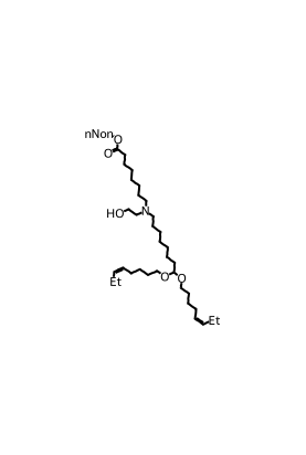 CC/C=C\CCCCOC(CCCCCCCN(CCO)CCCCCCCC(=O)OCCCCCCCCC)OCCCC/C=C\CC